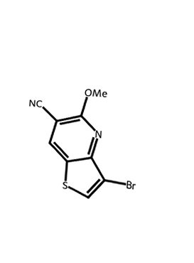 COc1nc2c(Br)csc2cc1C#N